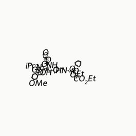 CCOC(=O)[C@H](CC)OP(=O)(CCNCc1ccc(C[C@H](NC(=O)O[C@@H]2CCOC2)[C@H](O)CN(CC(C)C)S(=O)(=O)c2ccc(OC)cc2)cc1)Oc1ccccc1